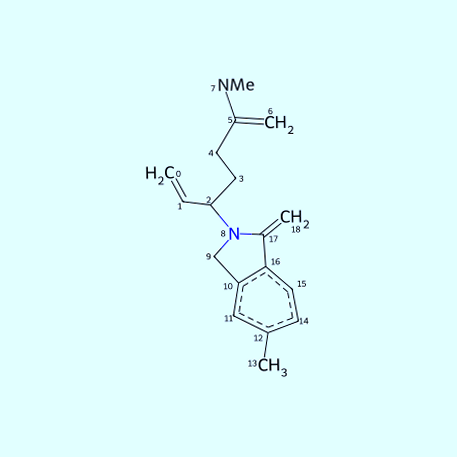 C=CC(CCC(=C)NC)N1Cc2cc(C)ccc2C1=C